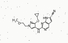 COCCn1cc(Nc2ncc3cc(C#N)[nH]c3n2)c(OC2CC2)n1